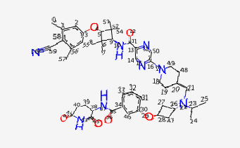 Cc1cc(O[C@H]2C(C)(C)[C@H](NC(=O)c3cnc(N4CCC(CN(C(C)C)[C@H]5C[C@H](Oc6cccc(C(=O)NC7CCC(=O)NC7=O)c6)C5)CC4)cn3)C2(C)C)cc(C)c1C#N